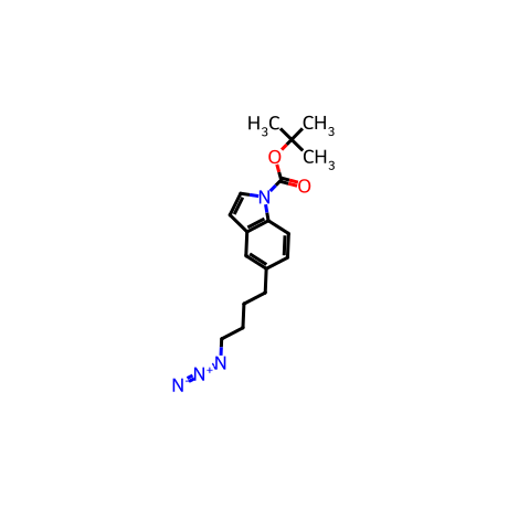 CC(C)(C)OC(=O)n1ccc2cc(CCCCN=[N+]=[N-])ccc21